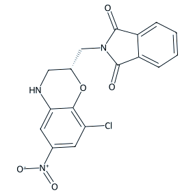 O=C1c2ccccc2C(=O)N1C[C@H]1CNc2cc([N+](=O)[O-])cc(Cl)c2O1